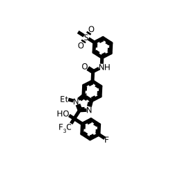 CCn1c(C(O)(c2ccc(F)cc2)C(F)(F)F)nc2ccc(C(=O)Nc3cccc(S(C)(=O)=O)c3)cc21